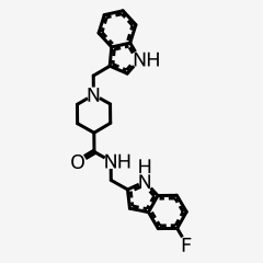 O=C(NCc1cc2cc(F)ccc2[nH]1)C1CCN(Cc2c[nH]c3ccccc23)CC1